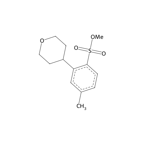 COS(=O)(=O)c1ccc(C)cc1C1CCOCC1